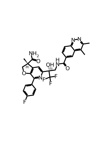 Cc1nnc2ccc(C(=O)NC[C@](O)(c3cc4c(c(-c5ccc(F)cc5)n3)OC[C@]4(C)C(N)=O)C(F)(F)F)cc2c1C